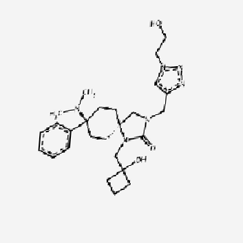 CN(C)[C@]1(c2ccccc2)CC[C@]2(CC1)CN(Cc1cn(CCO)nn1)C(=O)N2CC1(O)CCC1